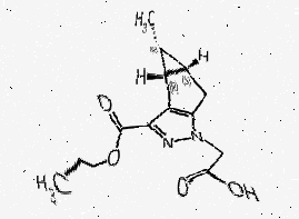 CCOC(=O)c1nn(CC(=O)O)c2c1[C@@H]1[C@H](C)[C@@H]1C2